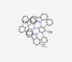 N#Cc1c(-c2ccccc2)c(-n2c3ccccc3c3ccc(C(F)(F)F)cc32)c(N2c3ccccc3C3(c4ccccc4-c4ccccc43)c3ccccc32)c(-n2c3ccccc3c3ccc(C(F)(F)F)cc32)c1-c1ccccc1